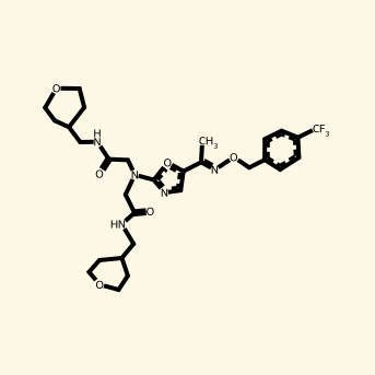 C/C(=N\OCc1ccc(C(F)(F)F)cc1)c1cnc(N(CC(=O)NCC2CCOCC2)CC(=O)NCC2CCOCC2)o1